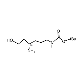 CC(C)(C)OC(=O)NCCC[C@H](N)CCO